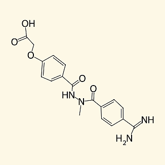 CN(NC(=O)c1ccc(OCC(=O)O)cc1)C(=O)c1ccc(C(=N)N)cc1